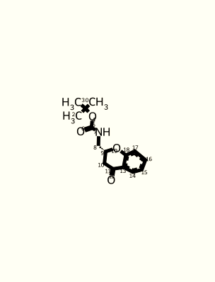 CC(C)(C)OC(=O)NC[C@H]1CC(=O)c2ccccc2O1